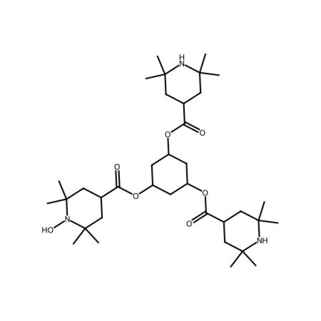 CC1(C)CC(C(=O)OC2CC(OC(=O)C3CC(C)(C)NC(C)(C)C3)CC(OC(=O)C3CC(C)(C)N(O)C(C)(C)C3)C2)CC(C)(C)N1